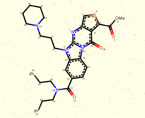 COC(=O)c1scc2nc3n(CCCN4CCCCC4)c4cc(C(=O)N(CCC(C)C)CCC(C)C)ccc4n3c(=O)c12